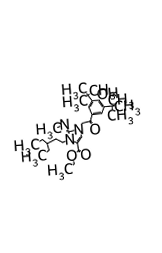 CCOC(=O)c1cn(CC(=O)c2cc(C(C)(C)C)c(O)c(C(C)(C)C)c2)c(=NC)n1CCC(CC)CC